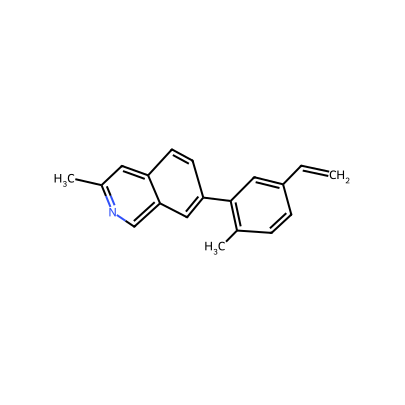 C=Cc1ccc(C)c(-c2ccc3cc(C)ncc3c2)c1